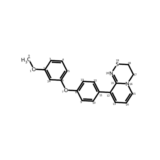 COc1cccc(Oc2ccc(C3=CC=CN4CCSN=C34)cc2)c1